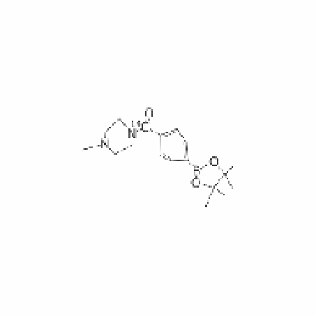 CN1CCN([14C](=O)c2ccc(B3OC(C)(C)C(C)(C)O3)cc2)CC1